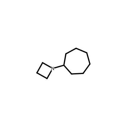 C1CCCC(N2CCC2)CC1